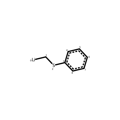 [Li][CH2]Sc1ccccc1